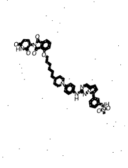 CS(=O)(=O)Nc1cccc(-c2ccc3cnc(Nc4ccc(N5CCC(CCCCCCOc6cccc7c6C(=O)N(C6CCC(=O)NC6=O)C7=O)CC5)cc4)nn23)c1